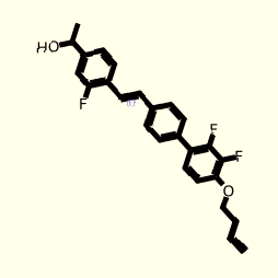 C=CCCOc1ccc(-c2ccc(/C=C/c3ccc(C(C)O)cc3F)cc2)c(F)c1F